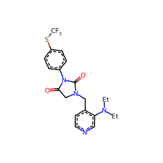 CCN(CC)c1cnccc1CN1CC(=O)N(c2ccc(SC(F)(F)F)cc2)C1=O